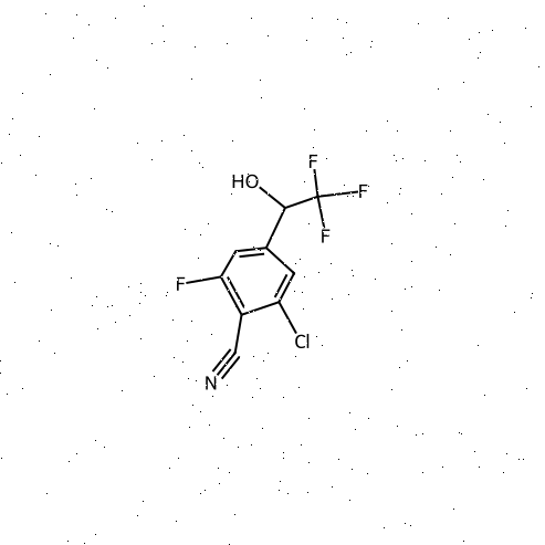 N#Cc1c(F)cc(C(O)C(F)(F)F)cc1Cl